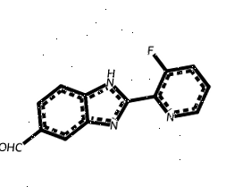 O=Cc1ccc2[nH]c(-c3ncccc3F)nc2c1